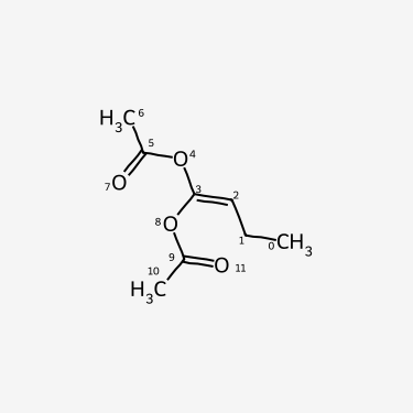 CCC=C(OC(C)=O)OC(C)=O